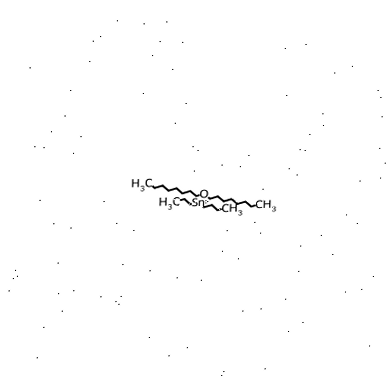 CCCCCCCCOCCCCCCCC.CCC[CH2][Sn][CH2]CC